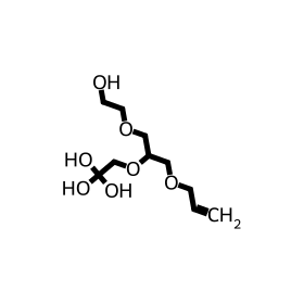 C=CCOCC(COCCO)OCC(O)(O)O